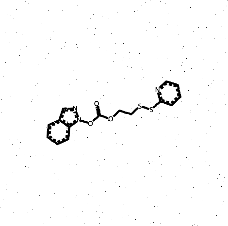 O=C(OCCSSc1ccccn1)On1ncc2ccccc21